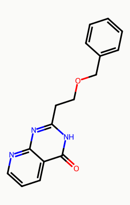 O=c1[nH]c(CCOCc2ccccc2)nc2ncccc12